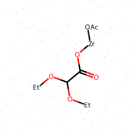 CCOC(OCC)C(=O)[O][Zr][O]C(C)=O